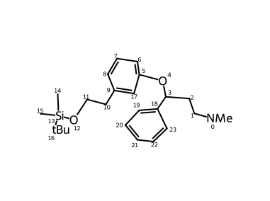 CNCCC(Oc1cccc(CCO[Si](C)(C)C(C)(C)C)c1)c1ccccc1